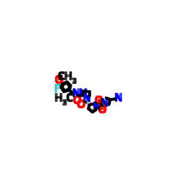 COc1ccc(C(C)NC(=O)[C@H]2CCCN2C(=O)[C@H]2CCCN(S(=O)(=O)N3CC(C#N)C3)C2)cc1F